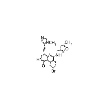 Cc1cc(CNc2nc3c(C#Cc4cncn4C)c[nH]c(=O)c3c3cc(Br)ccc23)no1